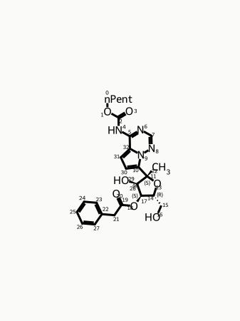 CCCCCOC(=O)Nc1ncnn2c([C@]3(C)O[C@H](CO)[C@@H](OC(=O)Cc4ccccc4)[C@H]3O)ccc12